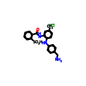 Cl.NCc1ccc(Nc2ccc(C(F)(F)F)cc2NC(=O)c2ccccc2S(=O)(=O)O)cc1